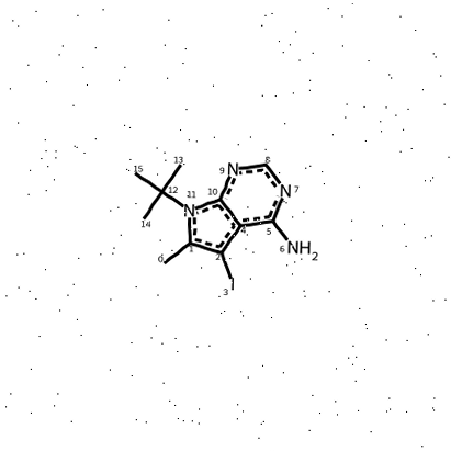 Cc1c(I)c2c(N)ncnc2n1C(C)(C)C